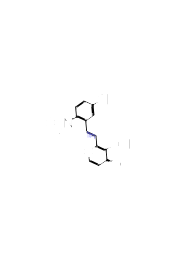 O=c1ccoc(/C=C/c2cc(Cl)ccc2[N+](=O)[O-])c1O